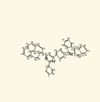 c1ccc(-c2nc(-c3ccc(-c4nc5oc6ccccc6c5c5ccccc45)cc3)cc(-c3ccc4ccc5cccc6ccc3c4c56)n2)cc1